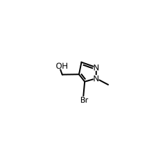 Cn1ncc(CO)c1Br